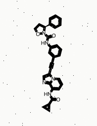 O=C(Nc1cccn2c(C#Cc3cccc(NC(=O)N4OCC[C@H]4c4ccccc4)c3)cnc12)C1CC1